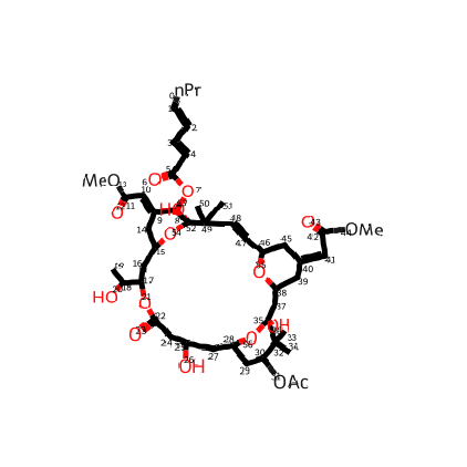 CCC/C=C/C=C/C(=O)OC1/C(=C/C(=O)OC)CC2CC(C(C)O)OC(=O)CC(O)CC3CC(OC(C)=O)C(C)(C)C(O)(CC4C/C(=C/C(=O)OC)CC(/C=C/C(C)(C)C1(O)O2)O4)O3